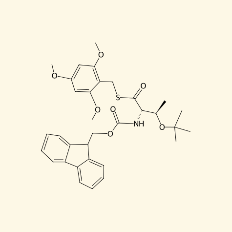 COc1cc(OC)c(CSC(=O)[C@@H](NC(=O)OCC2c3ccccc3-c3ccccc32)[C@@H](C)OC(C)(C)C)c(OC)c1